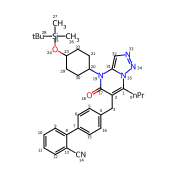 CCCc1c(Cc2ccc(-c3ccccc3C#N)cc2)c(=O)n(C2CCC(O[Si](C)(C)C(C)(C)C)CC2)c2cnnn12